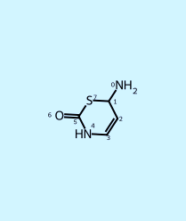 NC1C=CNC(=O)S1